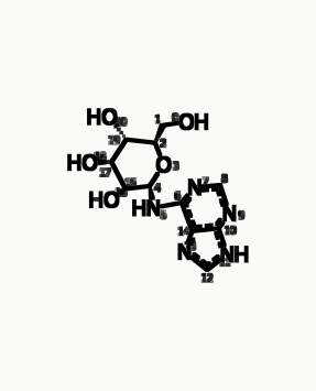 OC[C@H]1O[C@@H](Nc2ncnc3[nH]cnc23)[C@@H](O)[C@@H](O)[C@@H]1O